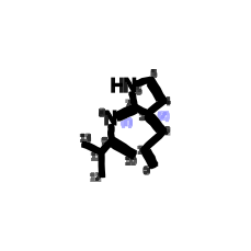 C=C/C=C1/C=CN/C1=N/C(=C)C(C)C